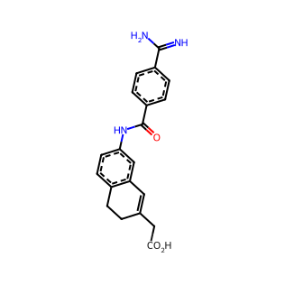 N=C(N)c1ccc(C(=O)Nc2ccc3c(c2)C=C(CC(=O)O)CC3)cc1